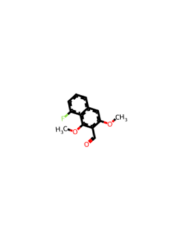 COc1cc2cccc(F)c2c(OC)c1C=O